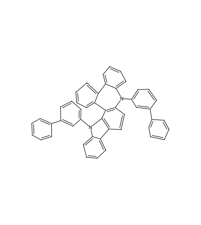 c1ccc(-c2cccc(N3c4ccccc4-c4ccccc4-c4c3ccc3c5ccccc5n(-c5cccc(-c6ccccc6)c5)c43)c2)cc1